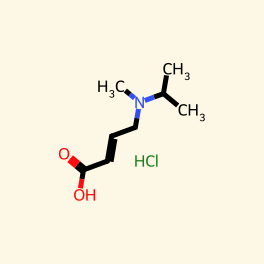 CC(C)N(C)CC=CC(=O)O.Cl